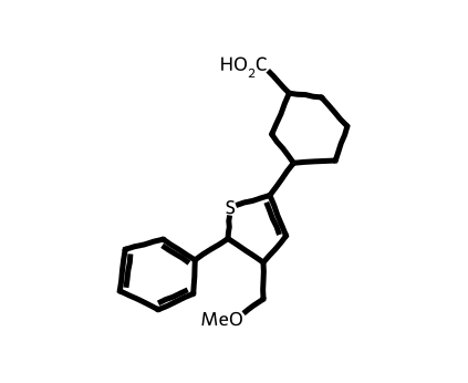 COCC1C=C(C2CCCC(C(=O)O)C2)SC1c1ccccc1